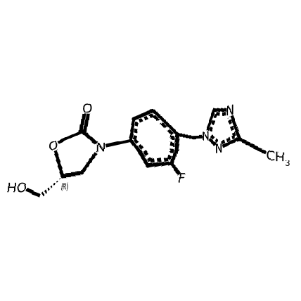 Cc1ncn(-c2ccc(N3C[C@H](CO)OC3=O)cc2F)n1